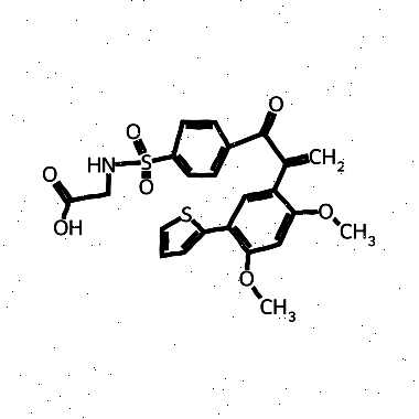 C=C(C(=O)c1ccc(S(=O)(=O)NCC(=O)O)cc1)c1cc(-c2cccs2)c(OC)cc1OC